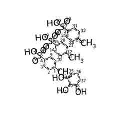 Cc1ccc(S(=O)(=O)O)cc1.Cc1ccc(S(=O)(=O)O)cc1.Cc1ccc(S(=O)(=O)O)cc1.Oc1cccc(O)c1O